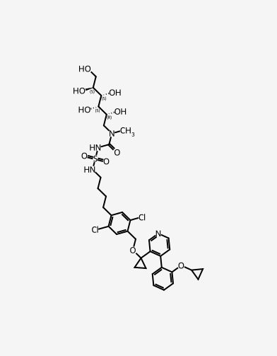 CN(C[C@@H](O)[C@H](O)[C@@H](O)[C@@H](O)CO)C(=O)NS(=O)(=O)NCCCCc1cc(Cl)c(COC2(c3cnccc3-c3ccccc3OC3CC3)CC2)cc1Cl